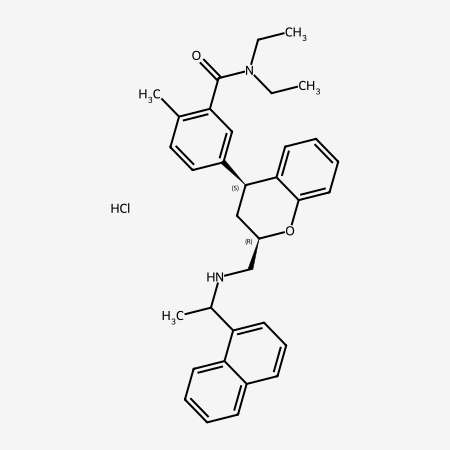 CCN(CC)C(=O)c1cc([C@@H]2C[C@H](CNC(C)c3cccc4ccccc34)Oc3ccccc32)ccc1C.Cl